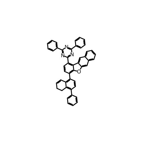 C1=Cc2c(-c3ccc(-c4nc(-c5ccccc5)nc(-c5ccccc5)n4)c4c3oc3cc5ccccc5cc34)ccc(-c3ccccc3)c2CC1